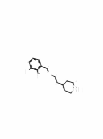 Fc1cccc(COCCC2CCNCC2)c1F